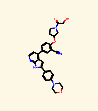 N#Cc1cc(-c2ccnc3[nH]c(-c4ccc(N5CCOCC5)cc4)cc23)ccc1OC1CCN(C(=O)CO)C1